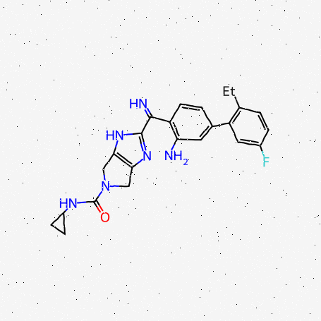 CCc1ccc(F)cc1-c1ccc(C(=N)c2nc3c([nH]2)CN(C(=O)NC2CC2)C3)c(N)c1